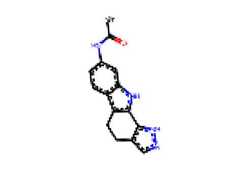 CCCC(=O)Nc1ccc2c3c([nH]c2c1)-c1[nH]ncc1CC3